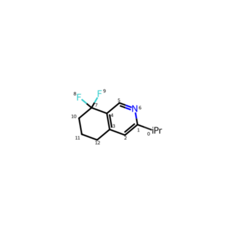 CC(C)c1cc2c(cn1)C(F)(F)CCC2